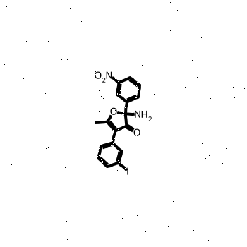 CC1=C(c2cccc(I)c2)C(=O)C(N)(c2cccc([N+](=O)[O-])c2)O1